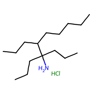 CCCCCC(CCC)C(N)(CCC)CCC.Cl